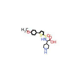 COc1ccc(-c2ccc([S+]([O-])N[C@@H](C(=O)O)C3CCNCC3)s2)cc1